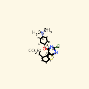 CCOC(=O)CC1CCc2sc3nc(Cl)nc(O[C@H]4CC[C@H](N(C)C)CC4)c3c21